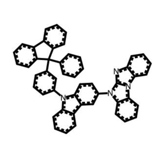 c1ccc(C2(c3cccc(-n4c5ccccc5c5cc(-n6c7ccccc7n7c8ccccc8nc67)ccc54)c3)c3ccccc3-c3ccccc32)cc1